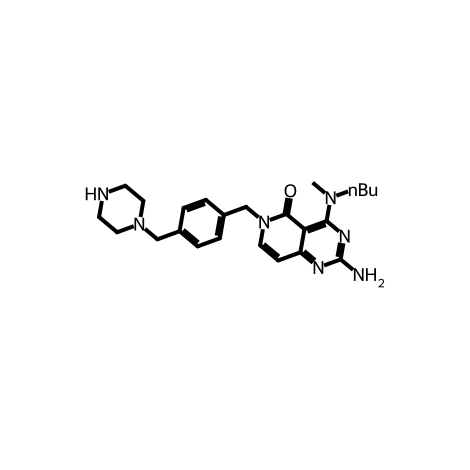 CCCCN(C)c1nc(N)nc2ccn(Cc3ccc(CN4CCNCC4)cc3)c(=O)c12